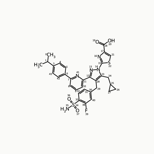 CC(C)c1ccc(-c2cccc(-c3nn(-c4nc(C(=O)O)cs4)c(CC4CC4)c3Cc3ccc(S(N)(=O)=O)c(F)c3)n2)cc1